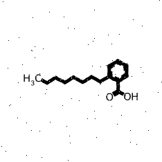 CCCCCCC[CH]c1ccccc1C(=O)O